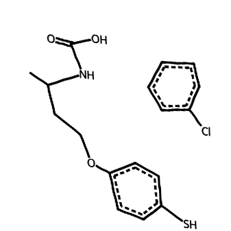 CC(CCOc1ccc(S)cc1)NC(=O)O.Clc1ccccc1